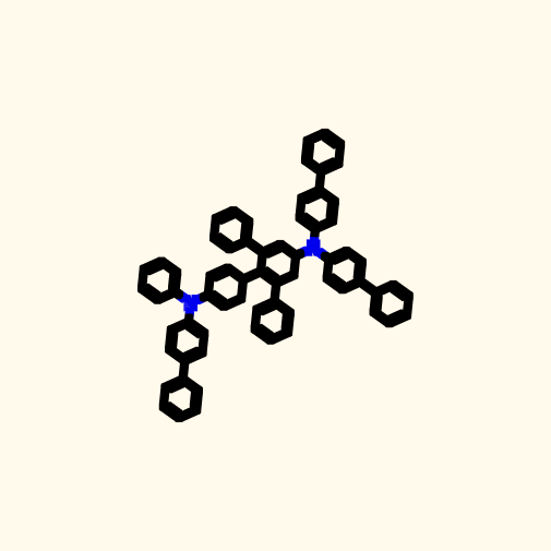 C1=CC(C2=C(c3ccccc3)CC(N(c3ccc(-c4ccccc4)cc3)c3ccc(-c4ccccc4)cc3)C=C2c2ccccc2)CC=C1N(c1ccccc1)c1ccc(-c2ccccc2)cc1